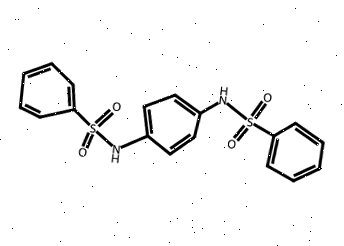 O=S(=O)(Nc1ccc(NS(=O)(=O)c2ccccc2)cc1)c1ccccc1